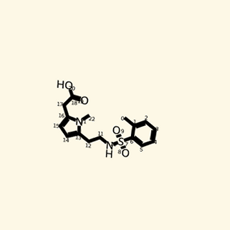 Cc1ccccc1S(=O)(=O)NCCc1ccc(CC(=O)O)n1C